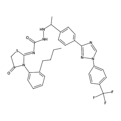 CCCCc1ccccc1N1C(=O)CS/C1=N\C(=O)NNC(C)c1ccc(-c2ncn(-c3ccc(C(F)(F)F)cc3)n2)cc1